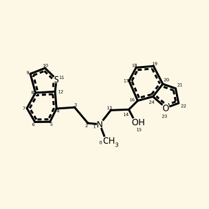 CN(CCc1cccc2ccsc12)CC(O)c1cccc2ccoc12